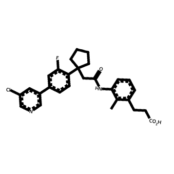 Cc1c(CCC(=O)O)cccc1NC(=O)CC1(c2ccc(-c3cncc(Cl)c3)cc2F)CCCC1